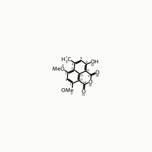 COc1cc(OC)c2c(C)cc(O)c3c2c1C(=O)OC3=O